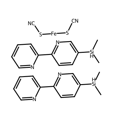 C[SiH](C)c1ccc(-c2ccccn2)nc1.C[SiH](C)c1ccc(-c2ccccn2)nc1.N#C[S][Fe][S]C#N